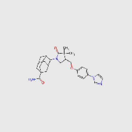 CC1(C)C(=O)N(C2C3CC4CC2CC(C(N)=O)(C4)C3)CC1COc1ccc(-n2ccnc2)cc1